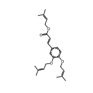 CC(C)=CCOC(=O)/C=C/c1ccc(OCC=C(C)C)c(OCC=C(C)C)c1